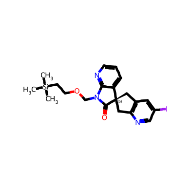 C[Si](C)(C)CCOCN1C(=O)[C@]2(Cc3cc(I)cnc3C2)c2cccnc21